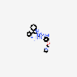 Nc1nc(Nc2ccc(OCCN3CCCC3)cc2)nn1-c1cc(-c2ccccc2)c2c(n1)CCCCCC2